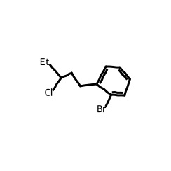 CCC(Cl)CCc1ccccc1Br